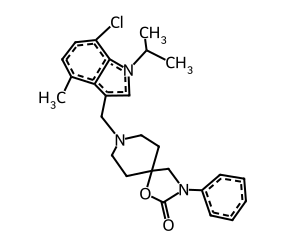 Cc1ccc(Cl)c2c1c(CN1CCC3(CC1)CN(c1ccccc1)C(=O)O3)cn2C(C)C